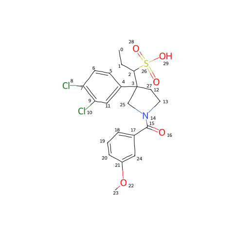 CCC(C1(c2ccc(Cl)c(Cl)c2)CCN(C(=O)c2cccc(OC)c2)C1)S(=O)(=O)O